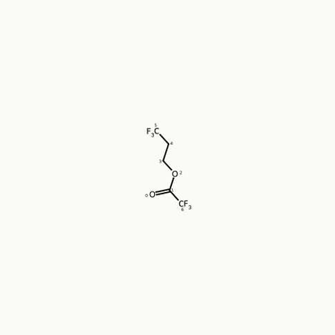 O=C(OCCC(F)(F)F)C(F)(F)F